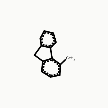 [GeH3][c]1cccc2c1-c1ccccc1[CH]2